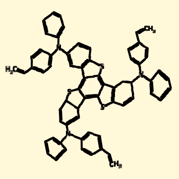 C=Cc1ccc(N(C2=CC3c4c(c5c6cc(N(c7ccccc7)c7ccc(C=C)cc7)ccc6sc5c5c6c(sc45)C=CC(N(c4ccccc4)c4ccc(C=C)cc4)C6)SC3C=C2)c2ccccc2)cc1